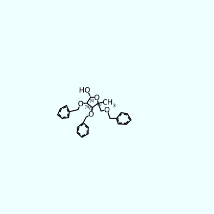 C[C@]1(COCc2ccccc2)O[C@H](O)[C@H](OCc2ccccc2)[C@@H]1OCc1ccccc1